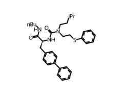 CCCCNC(=O)[C@H](Cc1ccc(-c2ccccc2)cc1)NC(=O)N(CCSc1ccccc1)CCC(C)C